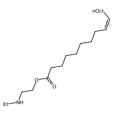 CCCCCCCC/C=C\CCCCCCCC(=O)OCCNCC